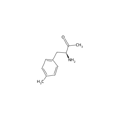 CC(=O)[C@@H](N)Cc1ccc(C)cc1